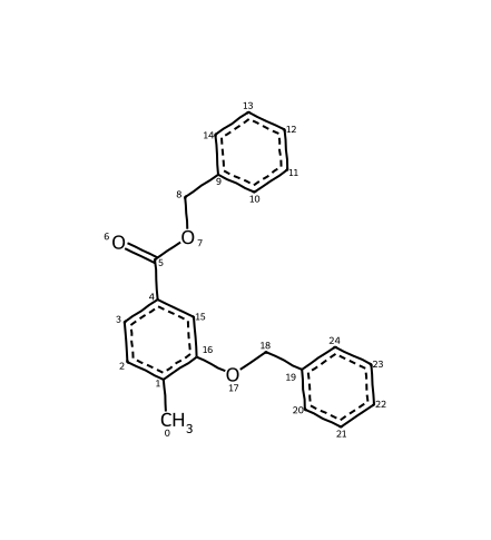 Cc1ccc(C(=O)OCc2ccccc2)cc1OCc1ccccc1